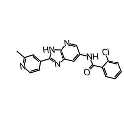 Cc1cc(-c2nc3cc(NC(=O)c4ccccc4Cl)cnc3[nH]2)ccn1